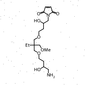 CCC(COC)(COCCC(O)CN)COCCC(O)CN1C(=O)C=CC1=O